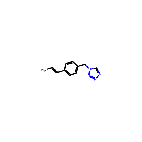 [CH2]C=Cc1ccc(Cn2cnnn2)cc1